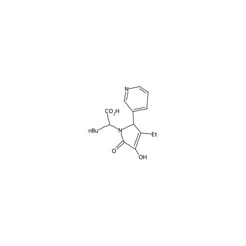 CCCCC(C(=O)O)N1C(=O)C(O)=C(CC)C1c1cccnc1